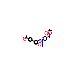 COc1ccc(-c2ccc(C(C)=O)cc2)cc1CN[C@H]1CC[C@H](N(C)C(=O)OC(C)(C)C)CC1